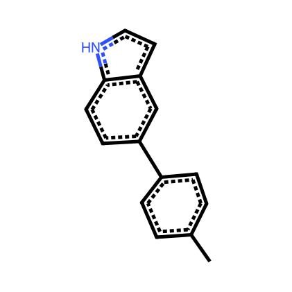 Cc1ccc(-c2ccc3[nH]ccc3c2)cc1